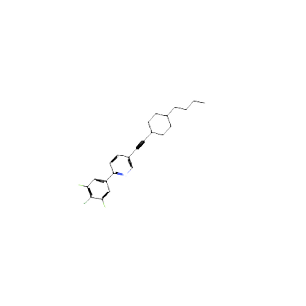 CCCCC1CCC(C#Cc2ccc(-c3cc(F)c(Cl)c(F)c3)nc2)CC1